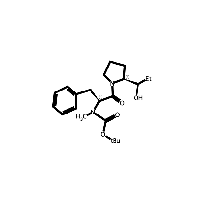 CCC(O)[C@@H]1CCCN1C(=O)[C@H](Cc1ccccc1)N(C)C(=O)OC(C)(C)C